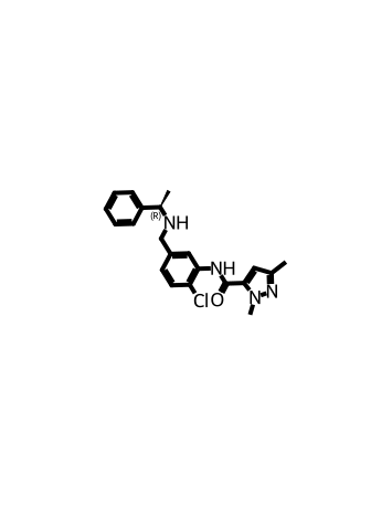 Cc1cc(C(=O)Nc2cc(CN[C@H](C)c3ccccc3)ccc2Cl)n(C)n1